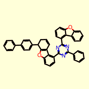 C1=Cc2c(oc3cccc(-c4nc(-c5ccccc5)nc(-c5cccc6oc7ccccc7c56)n4)c23)C(c2ccc(-c3ccccc3)cc2)C1